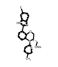 COC[C@H]1COc2c(-c3nc4ccc(F)cc4[nH]3)cccc2N1c1ccc(C)cn1